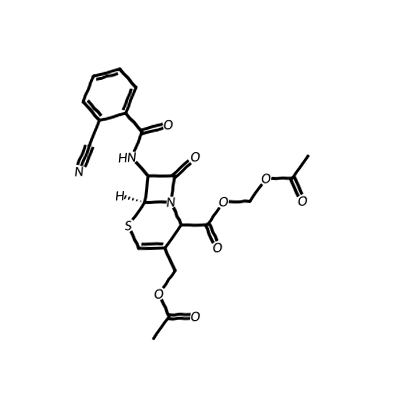 CC(=O)OCOC(=O)C1C(COC(C)=O)=CS[C@H]2C(NC(=O)c3ccccc3C#N)C(=O)N12